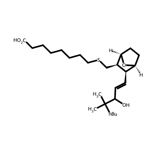 CCCCC(C)(C)C(O)/C=C/[C@H]1[C@@H](CSCCCCCCCC(=O)O)[C@H]2CC[C@@H]1O2